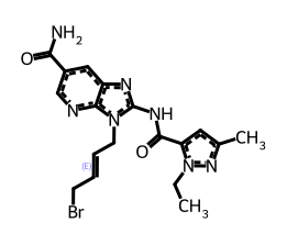 CCn1nc(C)cc1C(=O)Nc1nc2cc(C(N)=O)cnc2n1C/C=C/CBr